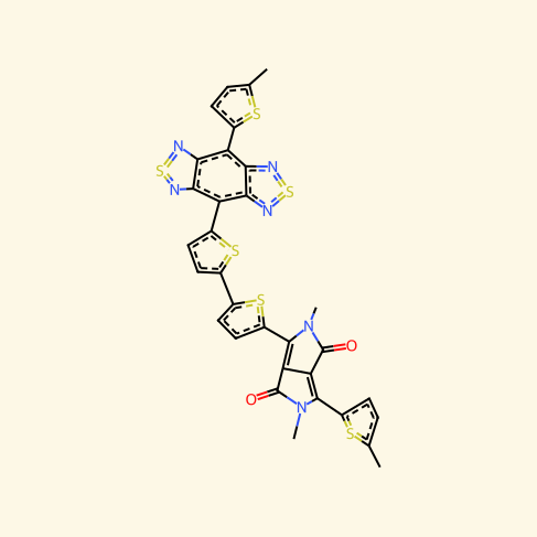 Cc1ccc(C2=C3C(=O)N(C)C(c4ccc(-c5ccc(-c6c7c(c(-c8ccc(C)s8)c8nsnc68)N=S=N7)s5)s4)=C3C(=O)N2C)s1